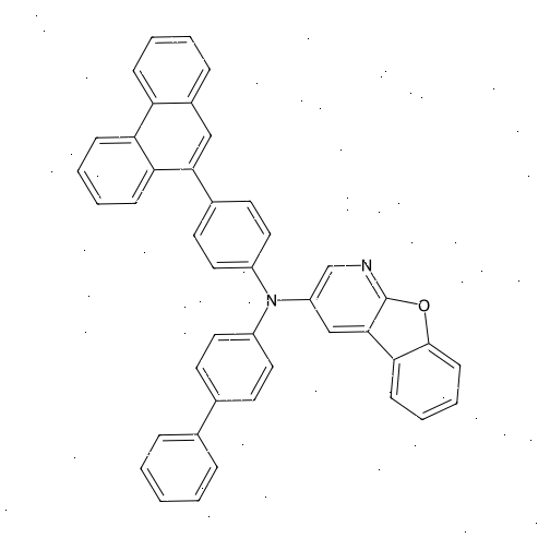 c1ccc(-c2ccc(N(c3ccc(-c4cc5ccccc5c5ccccc45)cc3)c3cnc4oc5ccccc5c4c3)cc2)cc1